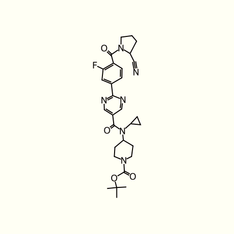 CC(C)(C)OC(=O)N1CCC(N(C(=O)c2cnc(-c3ccc(C(=O)N4CCCC4C#N)c(F)c3)nc2)C2CC2)CC1